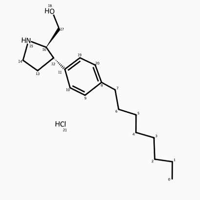 CCCCCCCCc1ccc([C@@H]2CCN[C@H]2CO)cc1.Cl